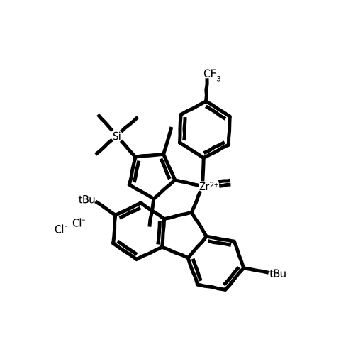 [CH2]=[Zr+2]([C]1=C(C)C([Si](C)(C)C)=CC1C)([c]1ccc(C(F)(F)F)cc1)[CH]1c2cc(C(C)(C)C)ccc2-c2ccc(C(C)(C)C)cc21.[Cl-].[Cl-]